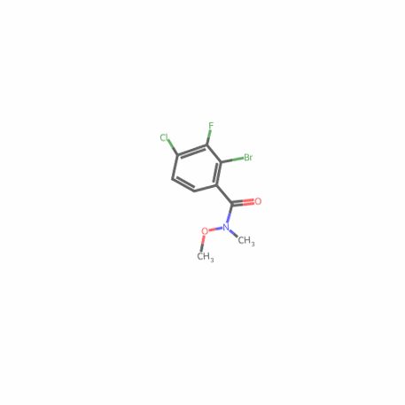 CON(C)C(=O)c1ccc(Cl)c(F)c1Br